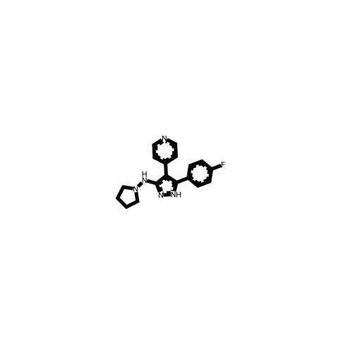 Fc1ccc(-c2[nH]nc(NN3CCCC3)c2-c2ccncc2)cc1